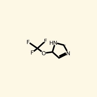 FC(F)(F)OC1C=N[CH]N1